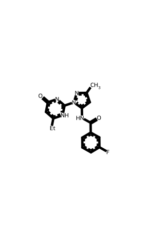 CCc1cc(=O)nc(-n2nc(C)cc2NC(=O)c2cccc(F)c2)[nH]1